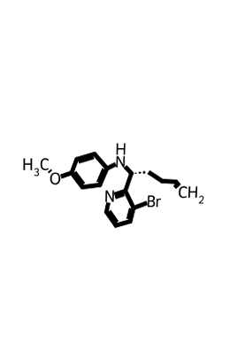 C=CCC[C@@H](Nc1ccc(OC)cc1)c1ncccc1Br